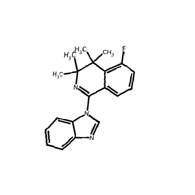 CC1(C)N=C(n2cnc3ccccc32)c2cccc(F)c2C1(C)C